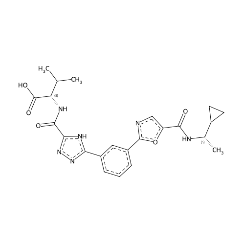 CC(C)[C@H](NC(=O)c1nnc(-c2cccc(-c3ncc(C(=O)N[C@@H](C)C4CC4)o3)c2)[nH]1)C(=O)O